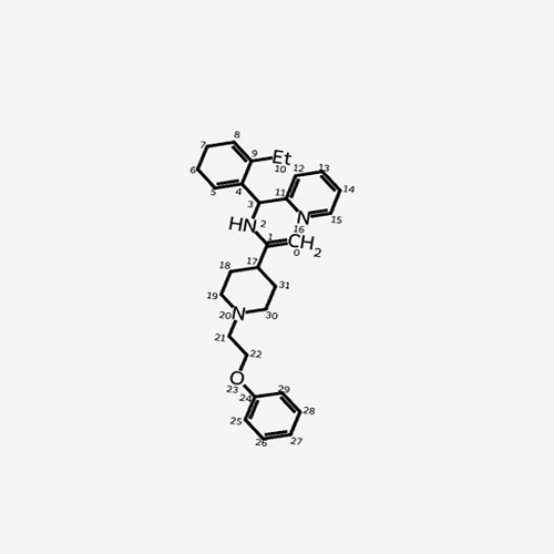 C=C(NC(C1=CCCC=C1CC)c1ccccn1)C1CCN(CCOc2ccccc2)CC1